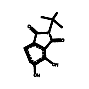 CC(C)(C)N1C(=O)c2ccc(O)c(O)c2C1=O